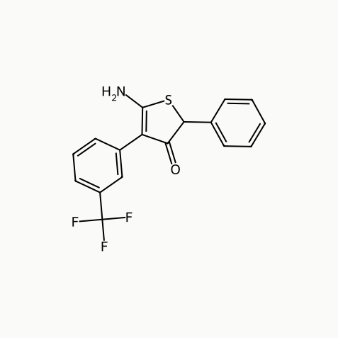 NC1=C(c2cccc(C(F)(F)F)c2)C(=O)C(c2ccccc2)S1